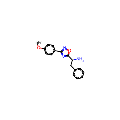 CCCOc1ccc(-c2noc([C@@H](N)Cc3ccccc3)n2)cc1